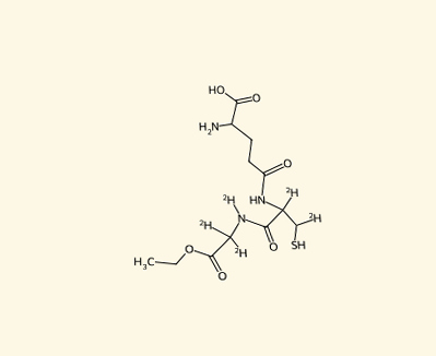 [2H]C(S)C([2H])(NC(=O)CCC(N)C(=O)O)C(=O)N([2H])C([2H])([2H])C(=O)OCC